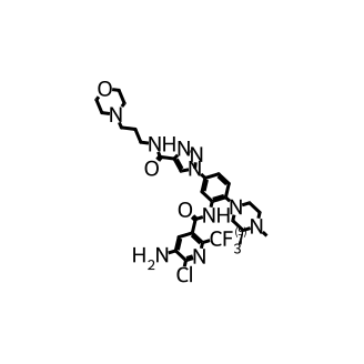 C[C@H]1CN(c2ccc(-n3cc(C(=O)NCCCN4CCOCC4)nn3)cc2NC(=O)c2cc(N)c(Cl)nc2C(F)(F)F)CCN1C